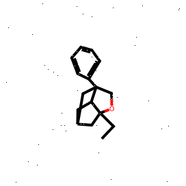 CCC12CC3CC1C(c1ccccc1)(CO2)C3